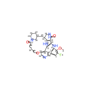 COc1c(F)cccc1Nc1c2[nH]c3c1C(=O)NCC3CC1CCCN(C1)C(=O)CCCOc1cnccc1-2